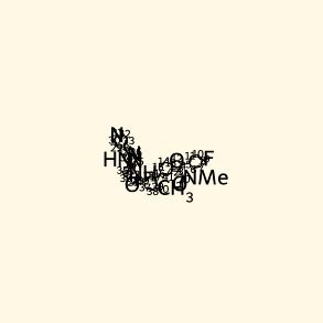 CNC(=O)c1c(-c2ccc(F)cc2)oc2ccc(-c3cc(C(=O)NC4(c5nnc(-c6ccncc6)[nH]5)CC4)ccc3C)cc12